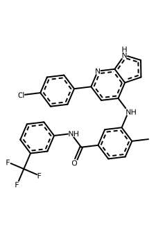 Cc1ccc(C(=O)Nc2cccc(C(F)(F)F)c2)cc1Nc1cc(-c2ccc(Cl)cc2)nc2[nH]ccc12